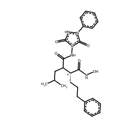 CC(C)CC(C(=O)Nn1c(=O)[nH]n(-c2ccccc2)c1=O)[C@@H](CCCc1ccccc1)C(=O)NO